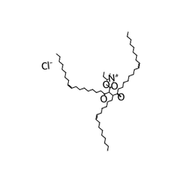 CCCCCCCC/C=C\CCCCCCCC(=O)C(CCCCC/C=C\CCCCCCCC)C(C(=O)CCCCCCC/C=C\CCCCCCCC)C(=O)OC(CC)[N+](C)(C)C.[Cl-]